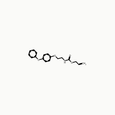 C=CCOC(=O)NCCOc1ccc(Oc2ccccc2)cc1